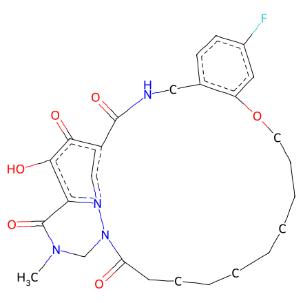 CN1CN2C(=O)CCCCCCCCCOc3cc(F)ccc3CNC(=O)c3cn2c(c(O)c3=O)C1=O